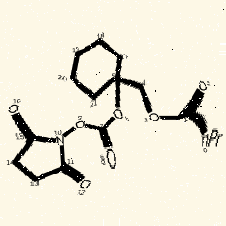 CCCC(=O)OCC1(OC(=O)ON2C(=O)CCC2=O)CCCCC1